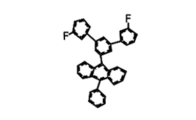 Fc1cccc(-c2cc(-c3cccc(F)c3)cc(-c3c4ccccc4c(-c4ccccc4)c4ccccc34)c2)c1